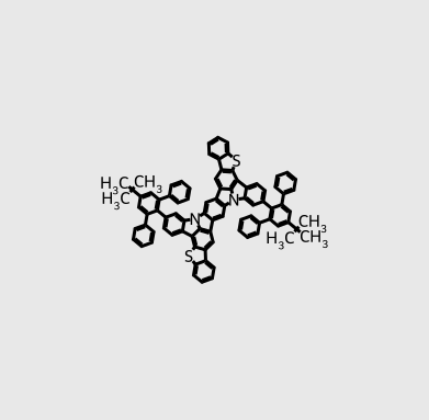 CC(C)(C)c1cc(-c2ccccc2)c(-c2ccc3c4c5sc6ccccc6c5cc5c6cc7c(cc6n(c3c2)c54)c2cc3c4ccccc4sc3c3c4ccc(-c5c(-c6ccccc6)cc(C(C)(C)C)cc5-c5ccccc5)cc4n7c23)c(-c2ccccc2)c1